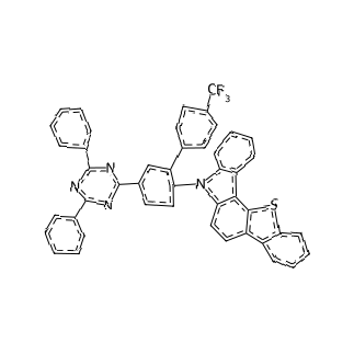 FC(F)(F)c1ccc(-c2cc(-c3nc(-c4ccccc4)nc(-c4ccccc4)n3)ccc2-n2c3ccccc3c3c4sc5ccccc5c4ccc32)cc1